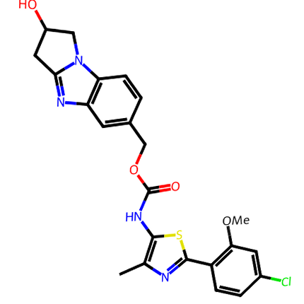 COc1cc(Cl)ccc1-c1nc(C)c(NC(=O)OCc2ccc3c(c2)nc2n3CC(O)C2)s1